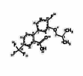 CC(C)COc1cc(-c2ccc(C(F)(F)F)cc2C(=O)O)ccc1F